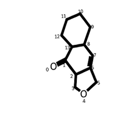 O=C1C2COCC2=CC2CCCCC12